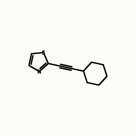 C(#CC1CCCCC1)c1nccs1